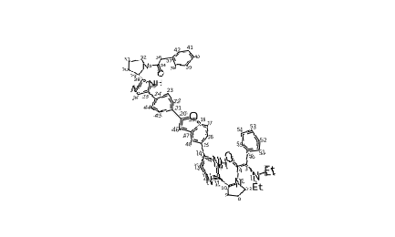 CCN(CC)[C@@H](C(=O)N1CCC[C@H]1c1ncc(-c2ccc3oc(-c4ccc(-c5cnc([C@@H]6CCCN6C(=O)Cc6ccccc6)[nH]5)cc4)cc3c2)[nH]1)c1ccccc1